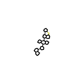 c1cc(-c2cccc3ccccc23)cc(-c2c3ccccc3c(-c3ccc4c5c(cccc35)Sc3ccccc3-4)c3ccccc23)c1